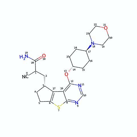 N#CC(C[C@H]1CCc2sc3ncnc(O[C@H]4CC[C@H](N5CCOCC5)CC4)c3c21)C(N)=O